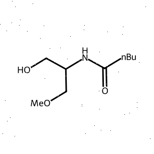 CCCCC(=O)NC(CO)COC